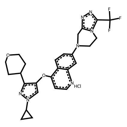 Cl.FC(F)(F)c1nnc2n1CCN(c1ccc3c(Oc4cn(C5CC5)nc4C4CCOCC4)ccnc3c1)C2